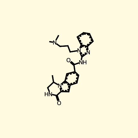 CC1CNC(=O)c2cc3ccc(C(=O)Nc4nc5ccccc5n4CCCN(C)C)cc3n21